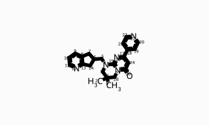 CC1(C)CN(CC2Cc3cccnc3C2)c2nc(-c3ccncc3)cc(=O)n2C1